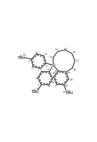 CC(C)(C)c1ccc([Si]2(c3ccc(C(C)(C)C)cc3)CCCCCCc3cc(C(C)(C)C)ccc32)cc1